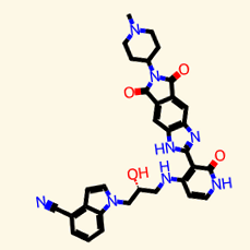 CN1CCC(N2C(=O)c3cc4nc(-c5c(NC[C@@H](O)Cn6ccc7c(C#N)cccc76)cc[nH]c5=O)[nH]c4cc3C2=O)CC1